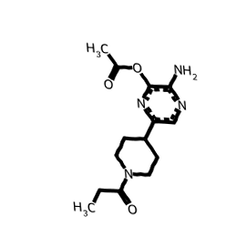 CCC(=O)N1CCC(c2cnc(N)c(OC(C)=O)n2)CC1